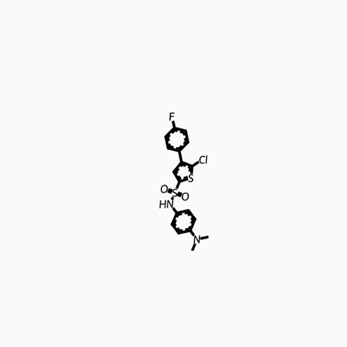 CN(C)c1ccc(NS(=O)(=O)c2cc(-c3ccc(F)cc3)c(Cl)s2)cc1